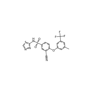 Cc1cc(Oc2ccc(S(=O)(=O)Nc3nncs3)cc2C#N)cc(C(F)(F)F)c1